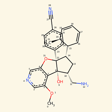 COc1cncc2c1[C@]1(O)[C@@H](CN)C[C@@H](C3C=CC=C[C@@H]3C)[C@]1(c1ccc(C#N)cc1)O2